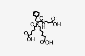 O=C(O)CCCCCN(C(=O)CCCC(=O)O)[C@@H](Cc1ccccc1)C(=O)NCCC(=O)O